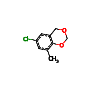 Cc1cc(Cl)cc2c1OCOC2